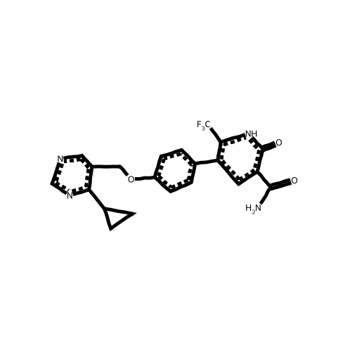 NC(=O)c1cc(-c2ccc(OCc3cncnc3C3CC3)cc2)c(C(F)(F)F)[nH]c1=O